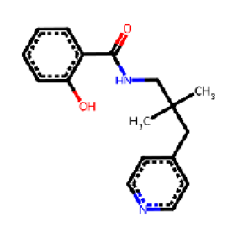 CC(C)(CNC(=O)c1ccccc1O)Cc1ccncc1